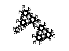 Fc1c(F)c(F)[c]([Al]([c]2c(F)c(F)c(F)c(F)c2F)[c]2c(F)c(F)c(F)c(F)c2F)c(F)c1F.Fc1c(F)c(F)[c]([Al]([c]2c(F)c(F)c(F)c(F)c2F)[c]2c(F)c(F)c(F)c(F)c2F)c(F)c1F.c1c[nH]cn1